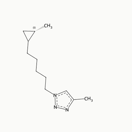 Cc1cn(CCCCCC2C[C@@H]2C)nn1